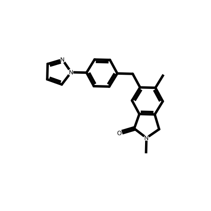 Cc1cc2c(cc1Cc1ccc(-n3cccn3)cc1)C(=O)N(C)C2